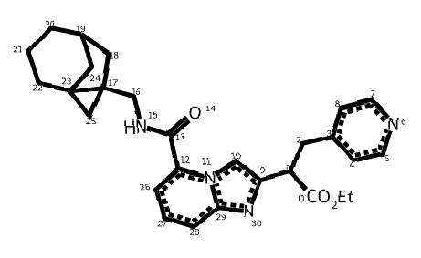 CCOC(=O)C(Cc1ccncc1)c1cn2c(C(=O)NCC34CC5CCCC3(C5)C4)cccc2n1